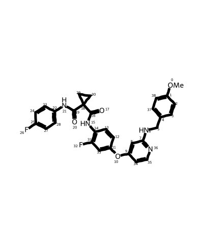 COc1ccc(CNc2cc(Oc3ccc(NC(=O)C4(C(=O)Nc5ccc(F)cc5)CC4)c(F)c3)ccn2)cc1